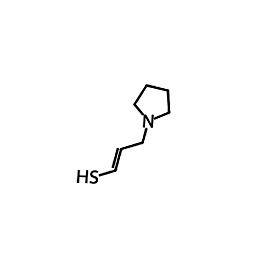 SC=CCN1CCCC1